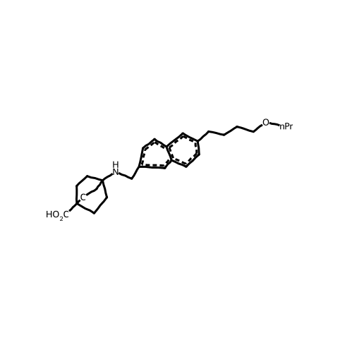 CCCOCCCCc1ccc2cc(CNC34CCC(C(=O)O)(CC3)CC4)ccc2c1